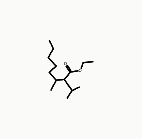 CCCCCC(C)C(C(=O)OCC)C(C)C